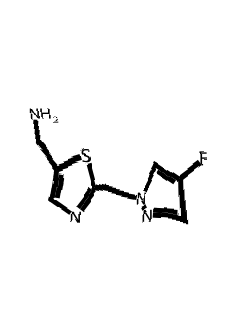 NCc1cnc(-n2cc(F)cn2)s1